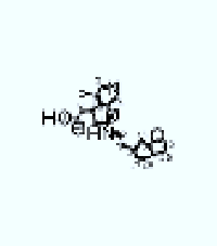 Cc1cnccc1C(CC(=O)O)CC(=O)NCCc1ccc2c(c1)OCC2